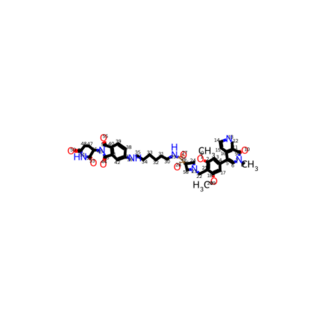 COc1cc(-c2cn(C)c(=O)c3cnccc23)cc(OC)c1CN1CC(S(=O)(=O)NCCCCCCNc2ccc3c(c2)C(=O)N(C2CCC(=O)NC2=O)C3=O)C1